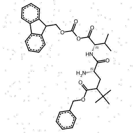 CC(C)[C@H](NC(=O)[C@@H](N)CC(C(=O)OCc1ccccc1)C(C)(C)C)C(=O)OC(=O)OCC1c2ccccc2-c2ccccc21